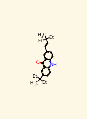 CCC(C)(C=Cc1ccc2[nH]c3ccc(C(C)(CC)CC)cc3c(=O)c2c1)CC